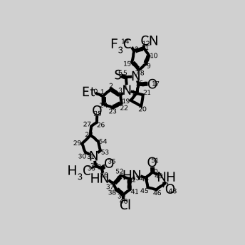 CCc1cc(N2C(=S)N(c3ccc(C#N)c(C(F)(F)F)c3)C(=O)C23CCC3)ccc1OCCC1CCN([C@H](C)C(=O)Nc2cc(Cl)cc(NC3CCC(=O)NC3=O)c2)CC1